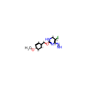 CO[C@@H]1C=CC(COC2=NC(N=N)=C(F)CN2)CC1